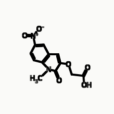 Cn1c(=O)c(OCC(=O)O)cc2cc([N+](=O)[O-])ccc21